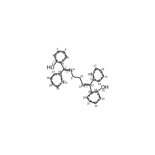 Oc1ccccc1/C(=N/CC/N=C(\c1ccccn1)c1ccccc1O)c1ccccn1